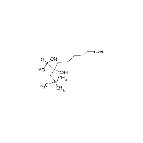 CCCCCCCCCCCCCCCC(O)(C[N+](C)(C)C)P(=O)(O)O